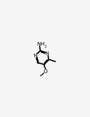 COc1cnc(N)nc1C